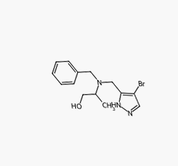 CC(CO)N(Cc1ccccc1)Cc1[nH]ncc1Br